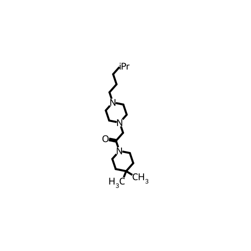 CC(C)CCCN1CCN(CC(=O)N2CCC(C)(C)CC2)CC1